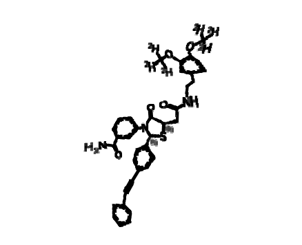 [2H]C([2H])([2H])Oc1ccc(CCNC(=O)C[C@H]2S[C@@H](c3ccc(C#Cc4ccccc4)cc3)N(c3cccc(C(N)=O)c3)C2=O)cc1OC([2H])([2H])[2H]